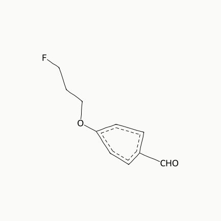 O=Cc1ccc(OCCCF)cc1